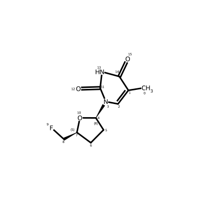 Cc1cn([C@H]2CC[C@@H](CF)O2)c(=O)[nH]c1=O